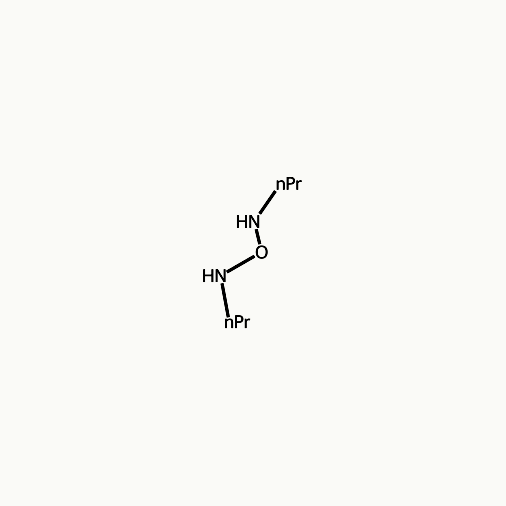 CCCNONCCC